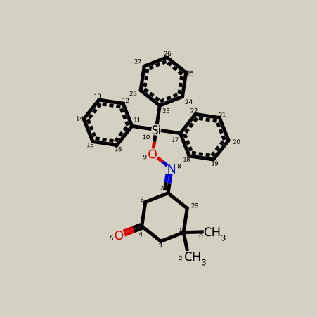 CC1(C)CC(=O)C/C(=N\O[Si](c2ccccc2)(c2ccccc2)c2ccccc2)C1